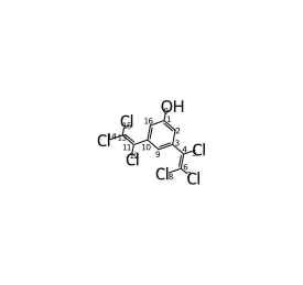 Oc1cc(C(Cl)=C(Cl)Cl)cc(C(Cl)=C(Cl)Cl)c1